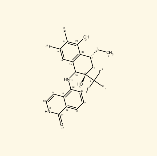 CC[C@@H]1C[C@](O)(C(F)(F)F)C(Nc2cccc3c(=O)[nH]ccc23)c2cc(F)c(F)c(O)c21